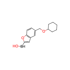 OBc1cc2cc(COC3CCCCC3)ccc2o1